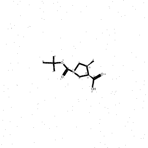 C[C@@H]1CN(C(=O)OC(C)(C)C)C[C@@H]1C(=O)O